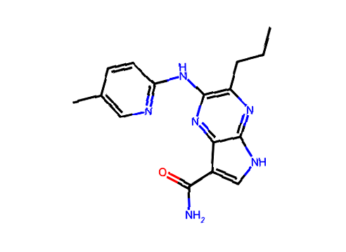 CCCc1nc2[nH]cc(C(N)=O)c2nc1Nc1ccc(C)cn1